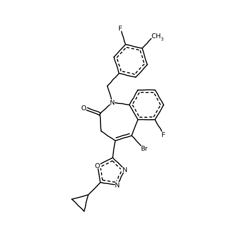 Cc1ccc(CN2C(=O)CC(c3nnc(C4CC4)o3)=C(Br)c3c(F)cccc32)cc1F